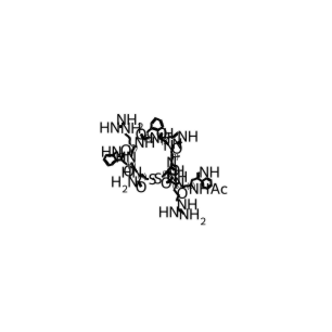 CC(=O)N[C@@H](Cc1c[nH]c2ccccc12)C(=O)N[C@@H](CCCNC(=N)N)C(=O)N[C@H]1CSSC[C@@H](C(N)=O)NC(=O)[C@H](Cc2c[nH]c3ccccc23)NC(=O)[C@H](CCCNC(=N)N)NC(=O)[C@@H](Cc2ccccc2)NC(=O)[C@H](Cc2c[nH]cn2)NC(=O)[C@@H](C)NC1=O